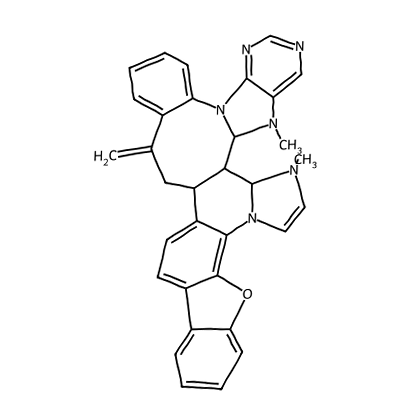 C=C1CC2c3ccc4c(oc5ccccc54)c3N3C=CN(C)C3C2C2N(C)c3cncnc3N2c2ccccc21